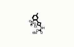 CCOS(=O)(=O)c1ccc(C)cc1C1CC(NC(=O)OC(C)(C)C)C1